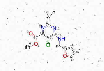 CC(C)OC(=O)c1nc(C2CC2)nc(NCc2ccco2)c1Cl